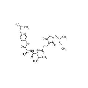 CCCC(C)SC1CC(=O)N(CCC(=O)NC(C(=O)N[C@@H](C)C(=O)Nc2ccc(CC(C)C)cc2)C(C)C)C1=O